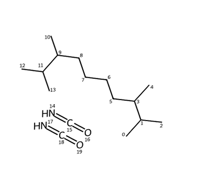 CC(C)C(C)CCCCC(C)C(C)C.N=C=O.N=C=O